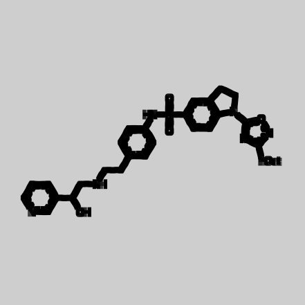 CCCCCCCCc1noc(N2CCc3cc(S(=O)(=O)Nc4ccc(CCNCC(O)c5cccnc5)cc4)ccc32)n1